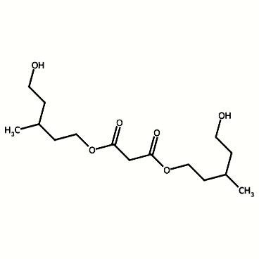 CC(CCO)CCOC(=O)CC(=O)OCCC(C)CCO